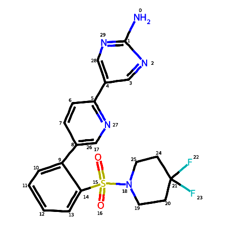 Nc1ncc(-c2ccc(-c3ccccc3S(=O)(=O)N3CCC(F)(F)CC3)cn2)cn1